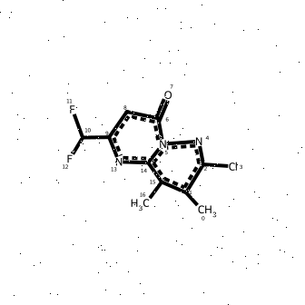 Cc1c(Cl)nn2c(=O)cc(C(F)F)nc2c1C